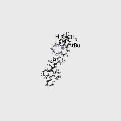 CC1/C=C\C=C/C/C(c2cccc3c2sc2ccc(-c4c5ccccc5c(C5C=CC=CC5)c5ccccc45)cc23)=c2/cccc/c2=C/1c1cc(C(C)(C)C)cc(C(C)(C)I)c1